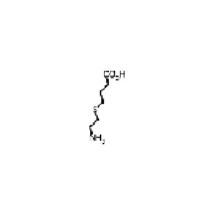 NCCSCCCC(=O)O